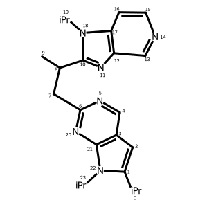 CC(C)c1cc2cnc(CC(C)c3nc4cnccc4n3C(C)C)nc2n1C(C)C